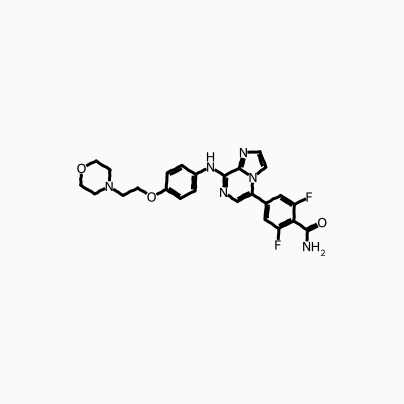 NC(=O)c1c(F)cc(-c2cnc(Nc3ccc(OCCN4CCOCC4)cc3)c3nccn23)cc1F